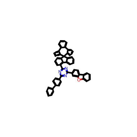 c1ccc(-c2ccc(-c3nc(-c4ccc5c(c4)oc4ccccc45)nc(-c4cccc5c4-c4ccccc4C54c5ccccc5-c5ccccc5-c5ccccc54)n3)cc2)cc1